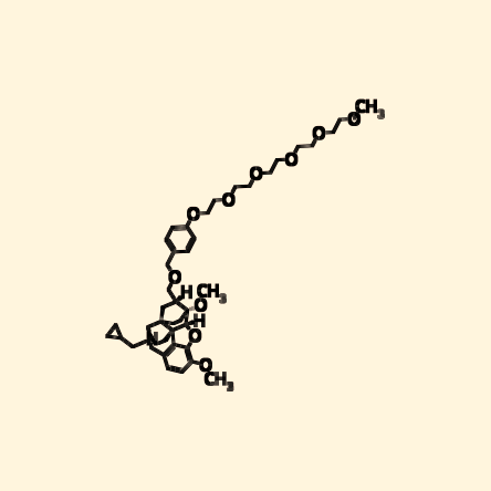 COCCOCCOCCOCCOCCOc1ccc(COC[C@H]2C[C@@]34CC[C@]2(OC)[C@@H]2Oc5c(OC)ccc6c5[C@@]23CCN(CC2CC2)C4C6)cc1